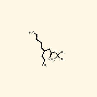 CCCCCC(CCC)CC(=O)OC(C)(C)C